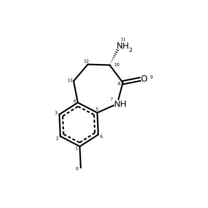 Cc1ccc2c(c1)NC(=O)[C@@H](N)CC2